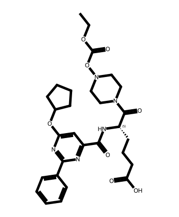 CCOC(=O)ON1CCN(C(=O)[C@H](CCCC(=O)O)NC(=O)c2cc(OC3CCCC3)nc(-c3ccccc3)n2)CC1